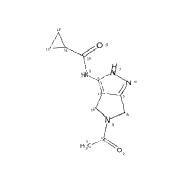 CC(=O)N1Cc2n[nH]c(NC(=O)C3CC3)c2C1